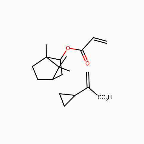 C=C(C(=O)O)C1CC1.C=CC(=O)OC1CC2CCC1(C)C2(C)C